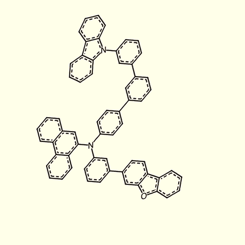 c1cc(-c2ccc(N(c3cccc(-c4ccc5c(c4)oc4ccccc45)c3)c3cc4ccccc4c4ccccc34)cc2)cc(-c2cccc(-n3c4ccccc4c4ccccc43)c2)c1